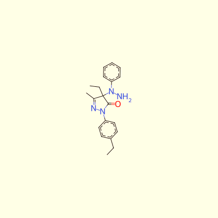 CCc1ccc(N2N=C(C)C(CC)(N(N)c3ccccc3)C2=O)cc1